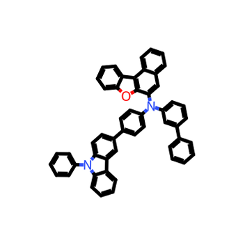 c1ccc(-c2cccc(N(c3ccc(-c4ccc5c(c4)c4ccccc4n5-c4ccccc4)cc3)c3cc4ccccc4c4c3oc3ccccc34)c2)cc1